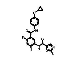 Cc1ncc(C(=O)Nc2cc(C(=O)Nc3ccc(OC4CC4)cn3)c(F)cc2C)s1